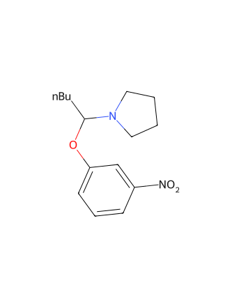 CCCCC(Oc1cccc([N+](=O)[O-])c1)N1CCCC1